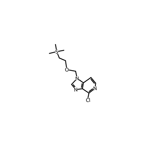 CS(C)(C)CCOCn1cnc2c(Cl)nccc21